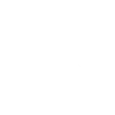 CN(C(=O)C1C=CC(C(C)(C)C)=CC1)[C@@H]1CCN(C(=O)CCCCC(c2ccc(F)cc2)c2ccc(F)cc2)C1